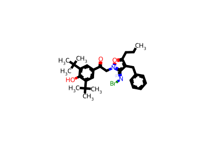 CCCc1on(CC(=O)c2cc(C(C)(C)C)c(O)c(C(C)(C)C)c2)/c(=N\Br)c1Cc1ccccc1